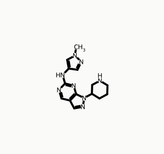 Cn1cc(Nc2ncc3cnn(C4CCCNC4)c3n2)cn1